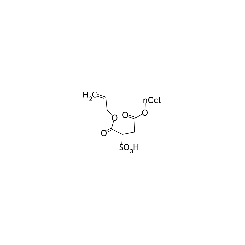 C=CCOC(=O)C(CC(=O)OCCCCCCCC)S(=O)(=O)O